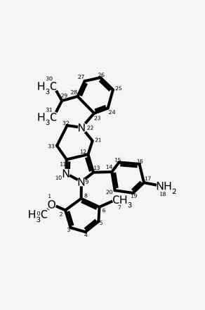 COc1cccc(C)c1-n1nc2c(c1-c1ccc(N)cc1)CN(c1ccccc1C(C)C)CC2